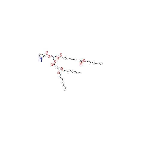 CCCCCCCCOC(=O)CCCCCCCCC(=O)OCC(COC(=O)CCC(OCCCCCCCC)OCCCCCCCC)COC(=O)C1CCNC1